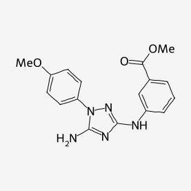 COC(=O)c1cccc(Nc2nc(N)n(-c3ccc(OC)cc3)n2)c1